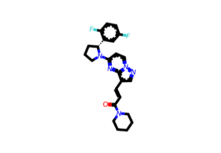 O=C(/C=C/c1cnn2ccc(N3CCC[C@@H]3c3cc(F)ccc3F)nc12)N1CCCCC1